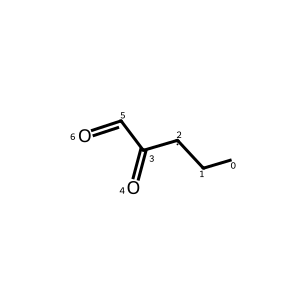 CC[CH]C(=O)C=O